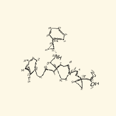 O=C(O)C1(CN2CCC(CCCc3ccccc3F)(CN[C@@H]3CC3c3ccccc3)CC2)CC1